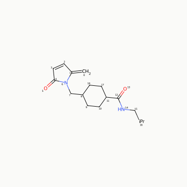 C=C1C=CC(=O)N1CC1CCC(C(=O)NCC(C)C)CC1